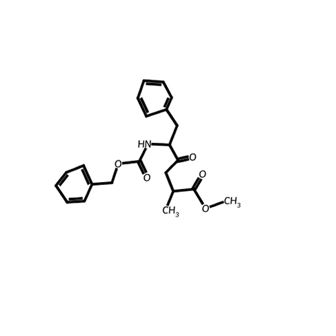 COC(=O)C(C)CC(=O)C(Cc1ccccc1)NC(=O)OCc1ccccc1